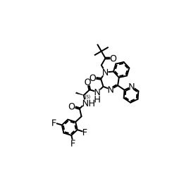 C[C@H](NC(=O)Cc1cc(F)cc(F)c1F)C(=O)NC1N=C(c2ccccn2)c2ccccc2N(CC(=O)C(C)(C)C)C1=O